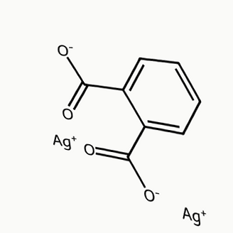 O=C([O-])c1ccccc1C(=O)[O-].[Ag+].[Ag+]